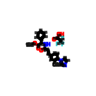 COc1cc(C=CC(=O)N[C@H](C(=O)OC(C)(C)C)c2ccccc2)ccc1-n1ccnc1.O=C(O)C(F)(F)F